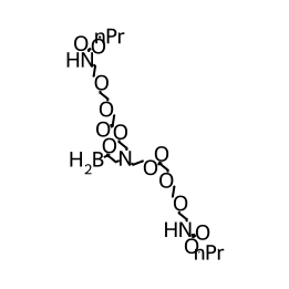 BC(=O)CN(CCOC(=O)COCCOCCNC(=O)OCCC)CCOC(=O)COCCOCCNC(=O)OCCC